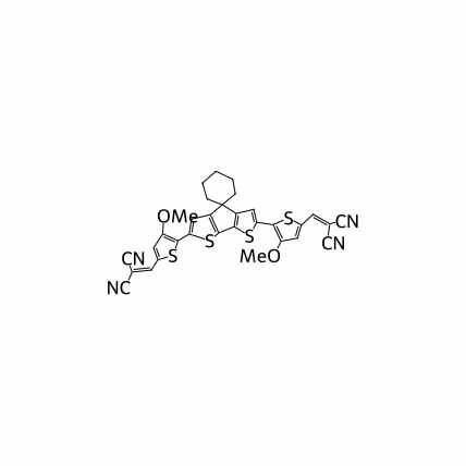 COc1cc(C=C(C#N)C#N)sc1-c1cc2c(s1)-c1sc(-c3sc(C=C(C#N)C#N)cc3OC)cc1C21CCCCC1